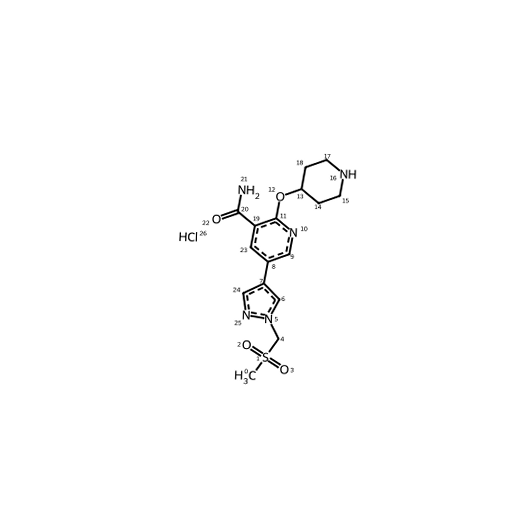 CS(=O)(=O)Cn1cc(-c2cnc(OC3CCNCC3)c(C(N)=O)c2)cn1.Cl